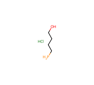 Cl.OCCCCP